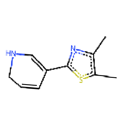 Cc1nc(C2=CNCC=C2)sc1C